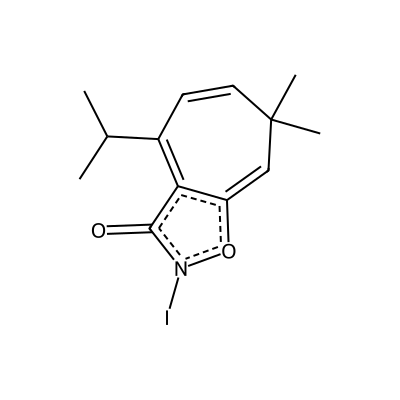 CC(C)C1=c2c(on(I)c2=O)=CC(C)(C)C=C1